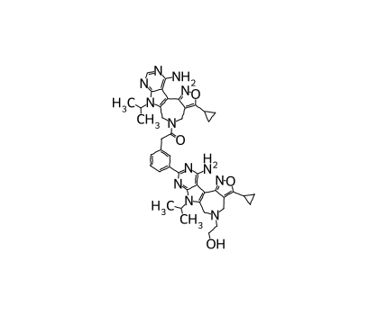 CC(C)n1c2c(c3c(N)ncnc31)-c1noc(C3CC3)c1CN(C(=O)Cc1cccc(-c3nc(N)c4c5c(n(C(C)C)c4n3)CN(CCO)Cc3c-5noc3C3CC3)c1)C2